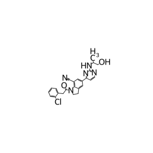 CC(CO)Nc1nccc(-c2cc(C#N)c3c(c2)CCN3C(=O)Cc2ccccc2Cl)n1